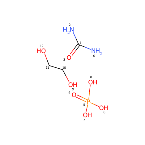 NC(N)=O.O=P(O)(O)O.OCCO